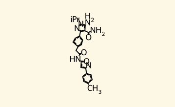 Cc1ccc(-c2cc(NC(=O)Cc3ccc(-c4nn(C(C)C)c(N)c4C(N)=O)cc3)on2)cc1